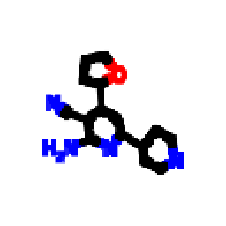 N#Cc1c(-c2ccco2)cc(-c2ccncc2)nc1N